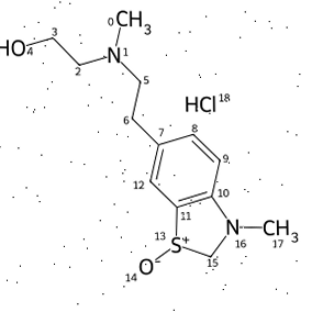 CN(CCO)CCc1ccc2c(c1)[S+]([O-])CN2C.Cl